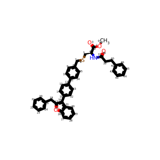 COC(=O)[C@H](CSCc1ccc(-c2ccc(-c3c(Cc4ccccc4)oc4ccccc34)cc2)cc1)NC(=O)CCc1ccccc1